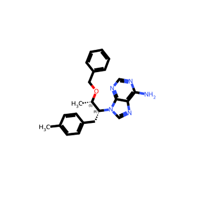 Cc1ccc(C[C@H]([C@H](C)OCc2ccccc2)n2cnc3c(N)ncnc32)cc1